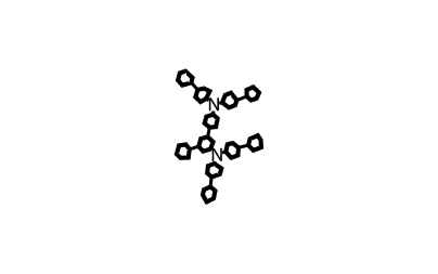 c1ccc(-c2ccc(N(c3ccc(-c4ccccc4)cc3)c3ccc(-c4cc(-c5ccccc5)cc(N(c5ccc(-c6ccccc6)cc5)c5ccc(-c6ccccc6)cc5)c4)cc3)cc2)cc1